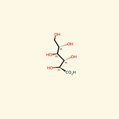 O=C(O)[C@@H](O)[C@@H](O)[C@@H](O)[C@@H](O)CO